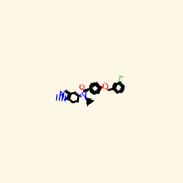 O=C(c1ccc(OCc2cccc(F)c2)cc1)N(C1CC1)C1CCc2[nH]ncc2C1